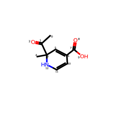 CC(=O)C1(C)C=C(C(=O)O)C=CN1